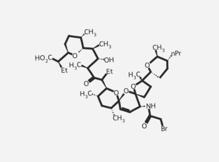 CCC[C@@H]1CC[C@H]([C@]2(C)CC[C@@]3(O[C@]4(C=C[C@H]3NC(=O)CBr)O[C@H](C(CC)C(=O)[C@@H](C)[C@@H](O)[C@H](C)[C@@H]3O[C@@H]([C@@H](CC)C(=O)O)CC[C@@H]3C)[C@@H](C)C[C@H]4C)O2)O[C@H]1C